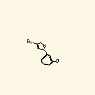 Clc1cccc(-n2cc(Br)nn2)c1